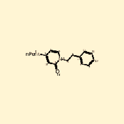 CCCCCc1ccn(CCc2ccccc2)c(=O)c1